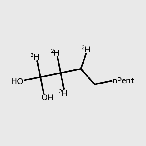 [2H]C(CCCCCC)C([2H])([2H])C([2H])(O)O